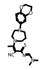 CC(=C(C#N)C(=S)N=CN(C)C)N1CCCN(c2ccc3c(c2)OCCO3)CC1